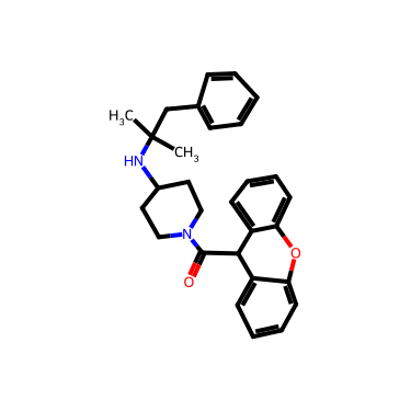 CC(C)(Cc1ccccc1)NC1CCN(C(=O)C2c3ccccc3Oc3ccccc32)CC1